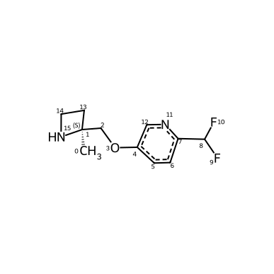 C[C@@]1(COc2ccc(C(F)F)nc2)CCN1